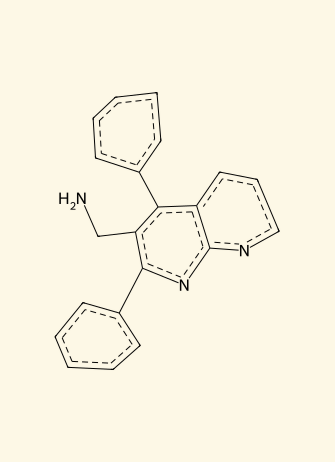 NCc1c(-c2ccccc2)nc2ncccc2c1-c1ccccc1